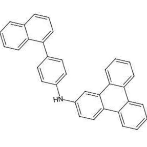 c1ccc2c(-c3ccc(Nc4ccc5c6ccccc6c6ccccc6c5c4)cc3)cccc2c1